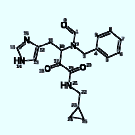 O=CN(Cc1ccccc1)C(Cc1c[nH]cn1)C(=O)C(=O)NCC1CC1